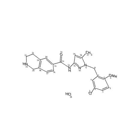 COc1ccc(Cl)cc1Cn1nc(NC(=O)c2ccc3c(c2)CCNC3)cc1C.Cl